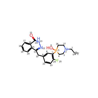 CC(C)CN1CC[P](O)(c2cc(Cc3n[nH]c(=O)c4ccccc34)ccc2F)CC1